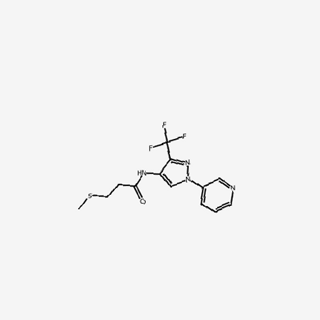 CSCCC(=O)Nc1cn(-c2cccnc2)nc1C(F)(F)F